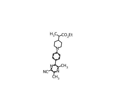 CCOC(=O)C(C)C1CCN(c2ccc(-c3nc(C#N)c(C)nc3C)cc2)CC1